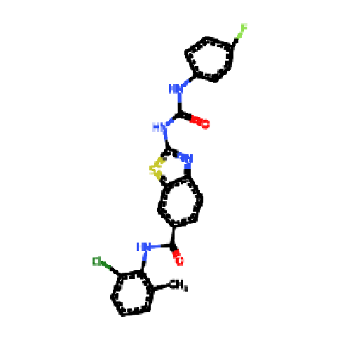 Cc1cccc(Cl)c1NC(=O)c1ccc2nc(NC(=O)Nc3ccc(F)cc3)sc2c1